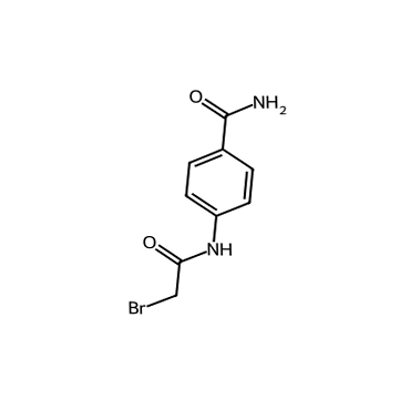 NC(=O)c1ccc(NC(=O)CBr)cc1